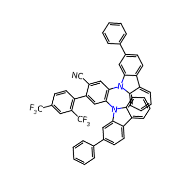 N#Cc1cc(-n2c3ccccc3c3ccc(-c4ccccc4)cc32)c(-n2c3ccccc3c3ccc(-c4ccccc4)cc32)cc1-c1ccc(C(F)(F)F)cc1C(F)(F)F